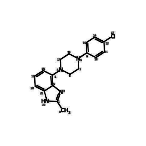 Cc1nc2c(N3CCN(c4ccc(Cl)cc4)CC3)cccc2[nH]1